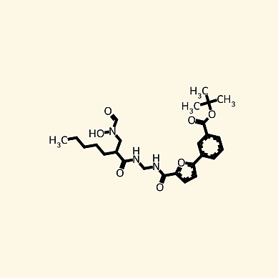 CCCCCC(CN(O)C=O)C(=O)NCNC(=O)c1ccc(-c2cccc(C(=O)OC(C)(C)C)c2)o1